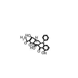 NC(=O)C1=C(O)C[C@@H]2CC3C(=C(O)[C@]2(O)C1=O)C(=O)c1c(O)cccc1[C@@H]3c1ccccc1